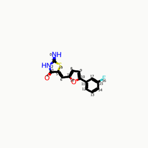 N=C1NC(=O)C(=Cc2ccc(-c3cccc(F)c3)o2)S1